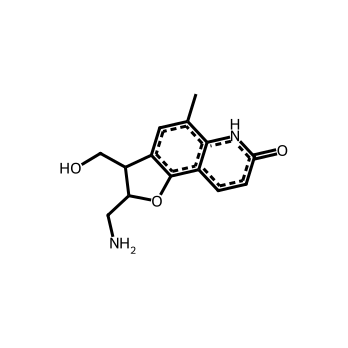 Cc1cc2c(c3ccc(=O)[nH]c13)OC(CN)C2CO